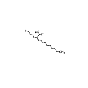 CCCCCCCCCC=C(CCCCF)C(=O)O